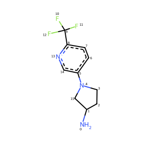 NC1CCN(c2ccc(C(F)(F)F)nc2)C1